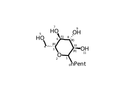 [CH2]CCCCC1O[C@H](CO)[C@@H](O)[C@H](O)[C@H]1O